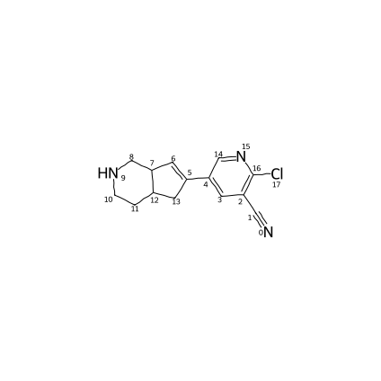 N#Cc1cc(C2=CC3CNCCC3C2)cnc1Cl